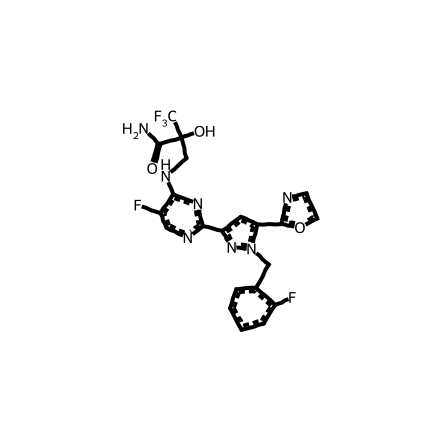 NC(=O)C(O)(CNc1nc(-c2cc(-c3ncco3)n(Cc3ccccc3F)n2)ncc1F)C(F)(F)F